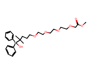 COC(=O)COCCOCCOCCOCCCC(C)(C)[Si](O)(c1ccccc1)c1ccccc1